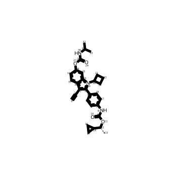 C#Cc1c(-c2ccc(NC(=O)O[C@H](C)C3CC3)cc2)n(C2CCC2)c2cc(OC(=O)NC(C)C)ccc12